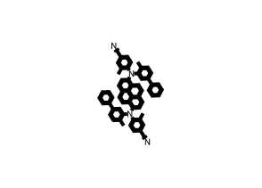 Cc1cc(C#N)ccc1N(c1cc(-c2ccccc2)ccc1C)c1ccc2ccc3c(N(c4ccc(C#N)cc4C)c4cc(-c5ccccc5)ccc4C)ccc4ccc1c2c43